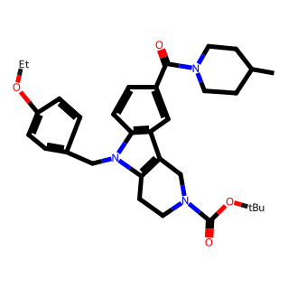 CCOc1ccc(Cn2c3c(c4cc(C(=O)N5CCC(C)CC5)ccc42)CN(C(=O)OC(C)(C)C)CC3)cc1